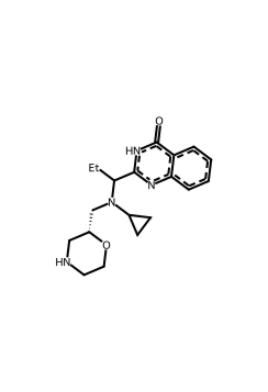 CCC(c1nc2ccccc2c(=O)[nH]1)N(C[C@H]1CNCCO1)C1CC1